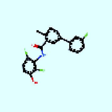 Cc1ccc(-c2cccc(F)c2)cc1C(=O)Nc1c(F)ccc(O)c1F